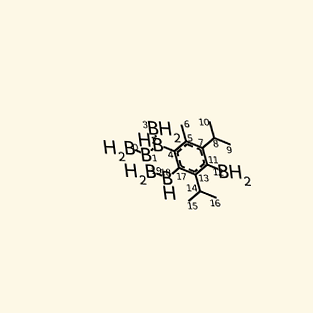 BBB(B)c1c(C)c(C(C)C)c(B)c(C(C)C)c1BB